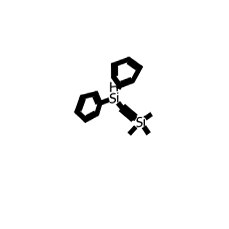 C[Si](C)(C)C#C[SiH](c1ccccc1)c1ccccc1